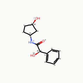 O=C(N[C@H]1CC[C@@H](O)C1)[C@H](O)c1ccccc1